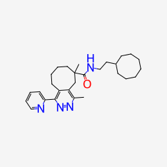 Cc1nnc(-c2ccccn2)c2c1CC(C)(C(=O)NCCC1CCCCCCC1)CCCC2